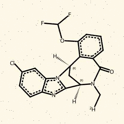 [2H]CN1C(=O)c2cccc(OC(F)F)c2[C@H]2C[C@@H]1c1nc3ccc(Cl)cc3n12